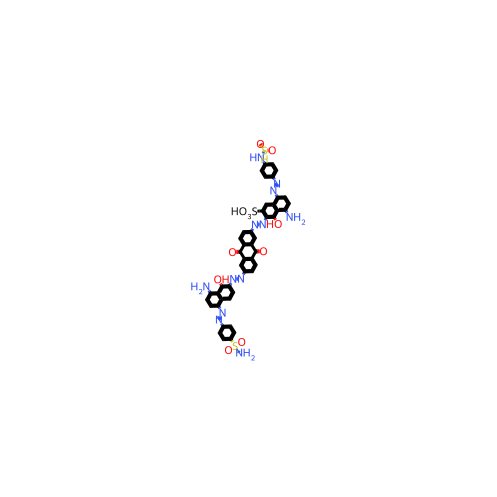 Nc1ccc(N=Nc2ccc(S(N)(=O)=O)cc2)c2ccc(N=Nc3ccc4c(c3)C(=O)c3ccc(N=Nc5c(S(=O)(=O)O)cc6c(N=Nc7ccc(N[SH](=O)=O)cc7)ccc(N)c6c5O)cc3C4=O)c(O)c12